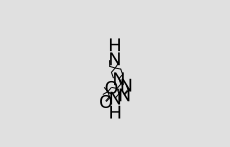 CC1(C)Oc2c(ncnc2N2CCC3(CCNC3)CC2)NC1=O